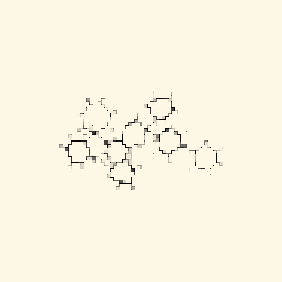 C1=CC(c2ccccc2)(c2ccc(N3CCCCC3)cc2)Oc2c1c1c(c3ccccc23)-c2ccccc2C12CCCCCC2